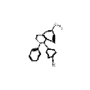 Cc1ccc2c(c1)CCN(c1ccccc1)C2c1ccc(Br)cc1